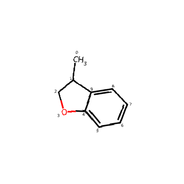 CC1COc2ccccc21